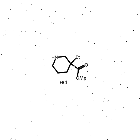 CCC1(C(=O)OC)CCCNC1.Cl